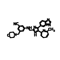 CC1=NC(c2[nH]c(CNc3cc(C#N)cc(CN4CCOCC4)c3)nc2-c2ccc3ncnn3c2)=CCC=C1